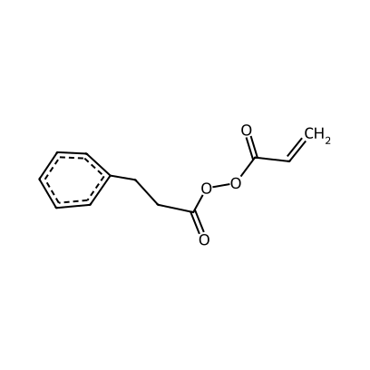 C=CC(=O)OOC(=O)CCc1ccccc1